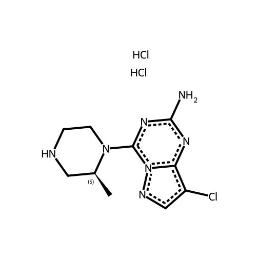 C[C@H]1CNCCN1c1nc(N)nc2c(Cl)cnn12.Cl.Cl